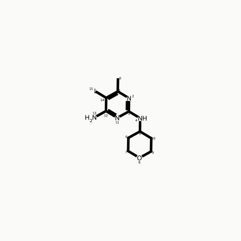 Cc1nc(NC2CCOCC2)nc(N)c1I